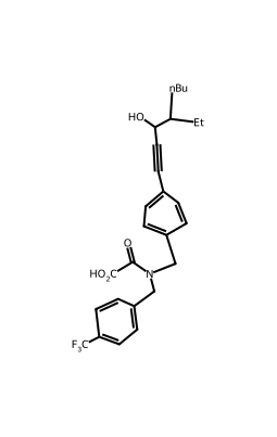 CCCCC(CC)C(O)C#Cc1ccc(CN(Cc2ccc(C(F)(F)F)cc2)C(=O)C(=O)O)cc1